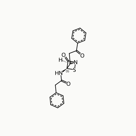 O=C(Cc1ccccc1)N[C@@]12SN(C1=O)[C@@H]2CC(=O)c1ccccc1